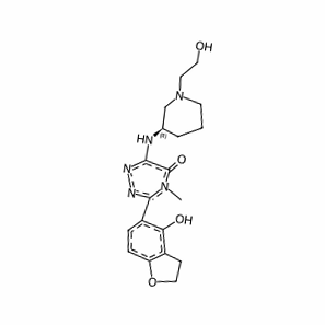 Cn1c(-c2ccc3c(c2O)CCO3)nnc(N[C@@H]2CCCN(CCO)C2)c1=O